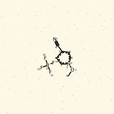 CO[n+]1ccc(C#N)cc1.F[B-](F)(F)F